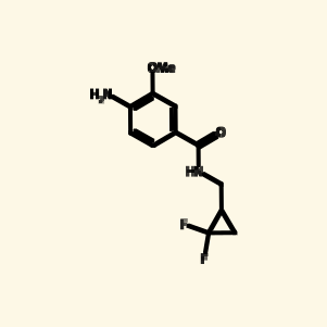 COc1cc(C(=O)NCC2CC2(F)F)ccc1N